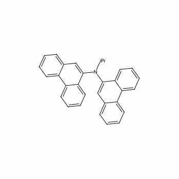 CC(C)N(c1cc2ccccc2c2ccccc12)c1cc2ccccc2c2ccccc12